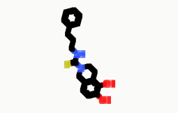 Oc1ccc2c(c1O)CCN(C(=S)NCCCc1ccccc1)C2